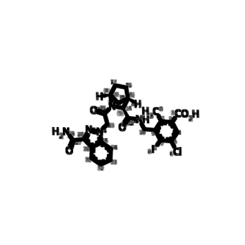 Cc1c(C(=O)O)cc(Cl)c(F)c1CNC(=O)[C@@H]1[C@H]2CC[C@H](C2)N1C(=O)Cn1nc(C(N)=O)c2ccccc21